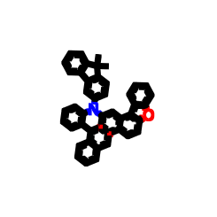 CC1(C)c2ccccc2-c2cc(N(c3ccc4ccc5oc6ccccc6c5c4c3)c3ccccc3-c3cccc4ccccc34)ccc21